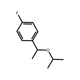 CC(C)OC(C)c1ccc(F)cc1